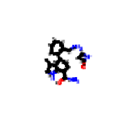 Cc1c[nH]c2c(C(N)=O)ccc(-c3ccccc3CN)c12.O=C1C=CN1